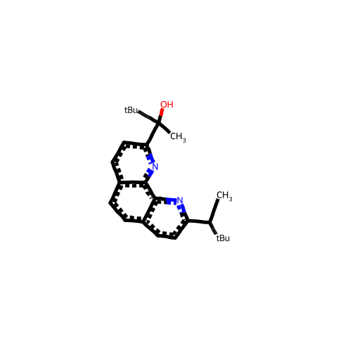 CC(c1ccc2ccc3ccc(C(C)(O)C(C)(C)C)nc3c2n1)C(C)(C)C